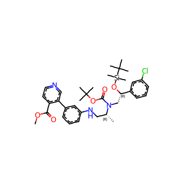 COC(=O)c1ccncc1-c1cccc(NC[C@@H](C)N(C[C@H](O[Si](C)(C)C(C)(C)C)c2cccc(Cl)c2)C(=O)OC(C)(C)C)c1